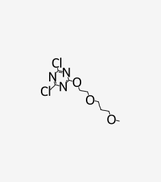 COCCCOCCOc1nc(Cl)nc(Cl)n1